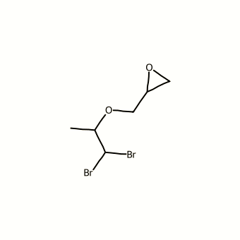 CC(OCC1CO1)C(Br)Br